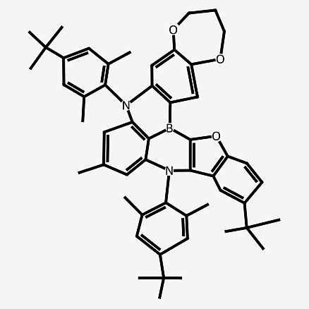 Cc1cc2c3c(c1)N(c1c(C)cc(C(C)(C)C)cc1C)c1c(oc4ccc(C(C)(C)C)cc14)B3c1cc3c(cc1N2c1c(C)cc(C(C)(C)C)cc1C)OCCCO3